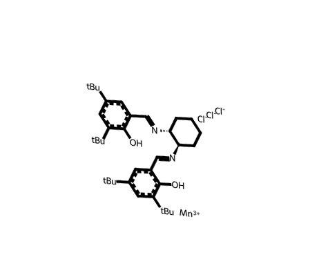 CC(C)(C)c1cc(/C=N/[C@@H]2CCCC[C@H]2/N=C/c2cc(C(C)(C)C)cc(C(C)(C)C)c2O)c(O)c(C(C)(C)C)c1.[Cl-].[Cl-].[Cl-].[Mn+3]